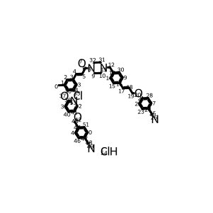 Cc1cc(/C=C/C(=O)N2CCN(Cc3ccc(/C=C/COc4ccc(C#N)cc4)cc3)CC2)cc(Cl)c1Oc1ccc(OCc2ccc(C#N)cc2)cn1.Cl